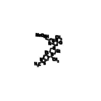 CC[C@H]1CN(C(C)c2ccc3nc(C)sc3c2)[C@H](CC)CN1c1cc(=O)n(C)n2cc(CNOC)nc12